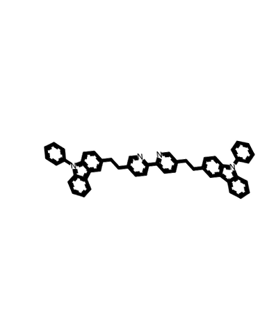 c1ccc(-n2c3ccccc3c3cc(CCc4ccc(-c5ccc(CCc6ccc7c(c6)c6ccccc6n7-c6ccccc6)cn5)nc4)ccc32)cc1